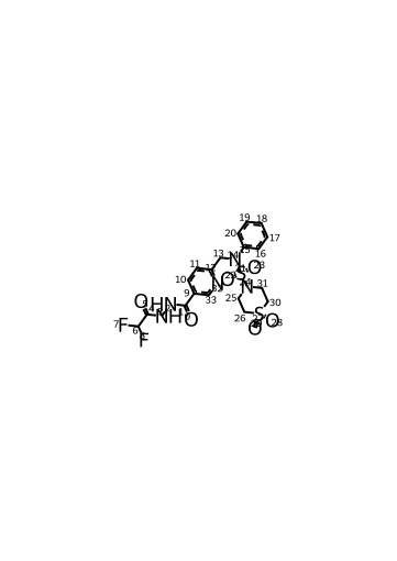 O=C(NNC(=O)C(F)F)c1ccc(CN(c2ccccc2)S(=O)(=O)N2CCS(=O)(=O)CC2)nc1